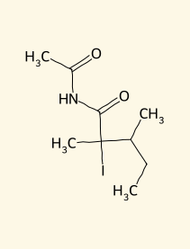 CCC(C)C(C)(I)C(=O)NC(C)=O